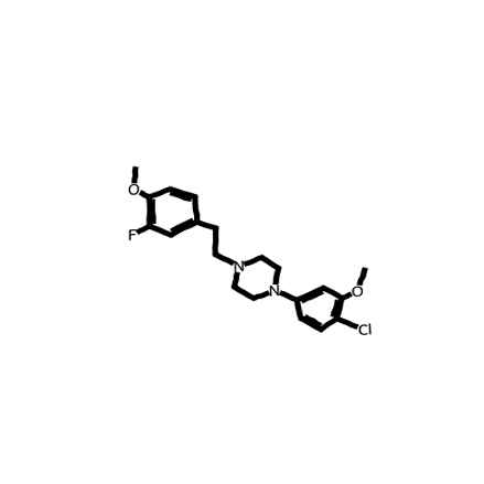 COc1ccc(CCN2CCN(c3ccc(Cl)c(OC)c3)CC2)cc1F